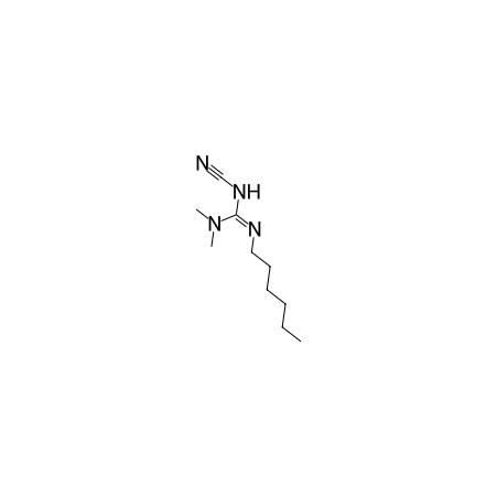 CCCCCCN=C(NC#N)N(C)C